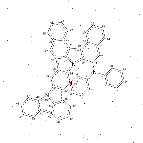 c1ccc(N(c2ccccc2)c2cc3ccccc3c3c4c5ccccc5cc5c6cc7c(nc6n(c23)c54)c2cccc3c4ccccc4n7c32)cc1